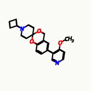 COc1ccncc1-c1ccc2c(c1)COC1(CCN(C3CCC3)CC1)O2